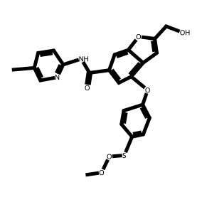 COOSc1ccc(Oc2cc(C(=O)Nc3ccc(C)cn3)cc3oc(CO)cc23)cc1